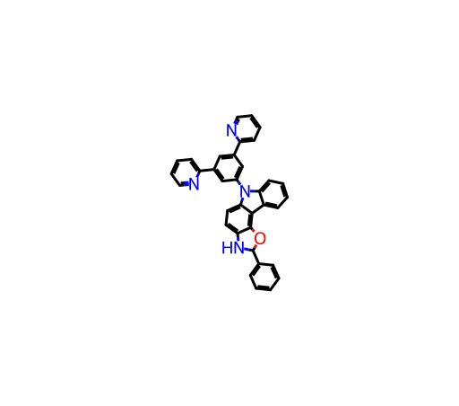 c1ccc(C2Nc3ccc4c(c3O2)c2ccccc2n4-c2cc(-c3ccccn3)cc(-c3ccccn3)c2)cc1